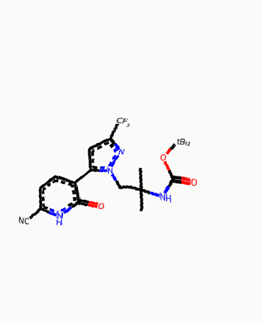 CC(C)(Cn1nc(C(F)(F)F)cc1-c1ccc(C#N)[nH]c1=O)NC(=O)OC(C)(C)C